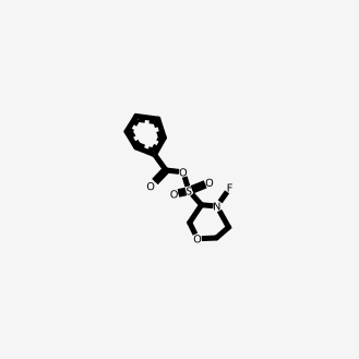 O=C(OS(=O)(=O)C1COCCN1F)c1ccccc1